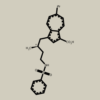 CC(C)c1ccc2c(C[C@H](C)CCNS(=O)(=O)c3ccccc3)cc(C(=O)O)c-2cc1